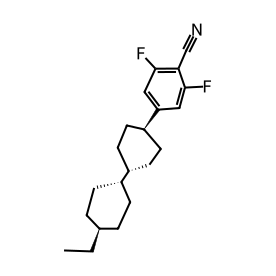 CC[C@H]1CC[C@H]([C@H]2CC[C@H](c3cc(F)c(C#N)c(F)c3)CC2)CC1